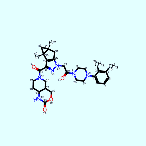 Cc1cccc(N2CCN(C(=O)Cn3nc(C(=O)N4CCC5NC(=O)OCC5C4)c4c3C[C@H]3C[C@@H]43)CC2)c1C